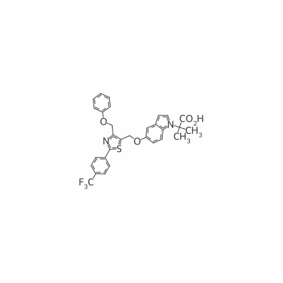 CC(C)(C(=O)O)n1ccc2cc(OCc3sc(-c4ccc(C(F)(F)F)cc4)nc3COc3ccccc3)ccc21